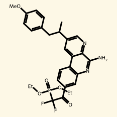 CCOP(=O)(OCC)C(F)(F)C(=O)c1ccc2c(c1)nc(N)c1ncc(C(C)Cc3ccc(OC)cc3)cc12